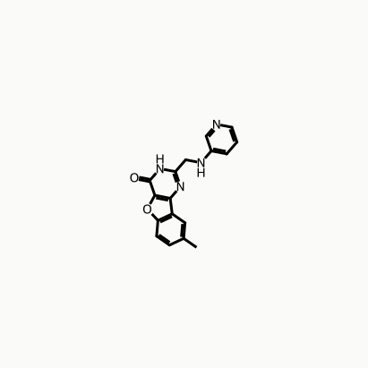 Cc1ccc2oc3c(=O)[nH]c(CNc4cccnc4)nc3c2c1